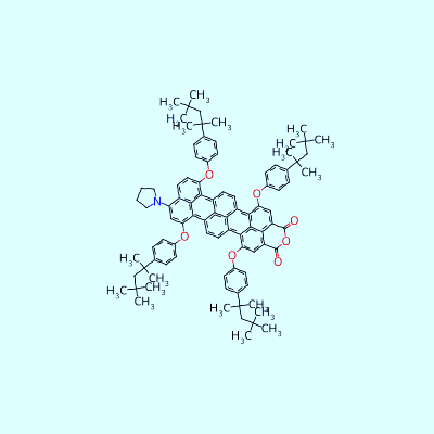 CC(C)(C)CC(C)(C)c1ccc(Oc2ccc3c(N4CCCC4)cc(Oc4ccc(C(C)(C)CC(C)(C)C)cc4)c4c5ccc6c7c(Oc8ccc(C(C)(C)CC(C)(C)C)cc8)cc8c9c(cc(Oc%10ccc(C(C)(C)CC(C)(C)C)cc%10)c(c%10ccc(c2c34)c5c%106)c97)C(=O)OC8=O)cc1